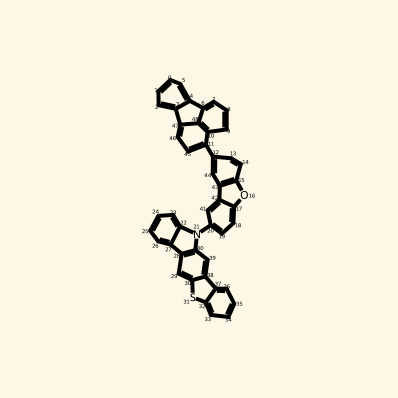 c1ccc2c(c1)-c1cccc3c(-c4ccc5oc6ccc(-n7c8ccccc8c8cc9sc%10ccccc%10c9cc87)cc6c5c4)ccc-2c13